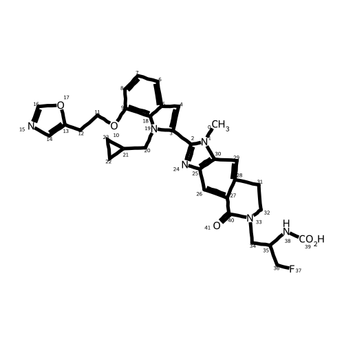 Cn1c(-c2cc3cccc(OCCc4cnco4)c3n2CC2CC2)nc2cc3c(cc21)CCN(CC(CF)NC(=O)O)C3=O